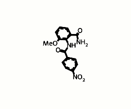 COc1cccc(C(N)=O)c1NC(=O)c1ccc([N+](=O)[O-])cc1